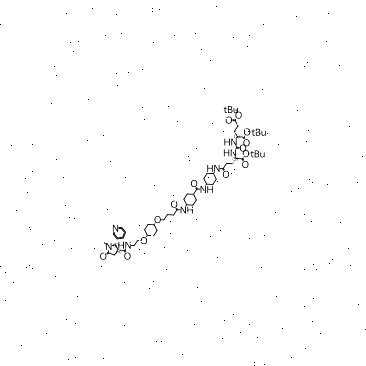 CN1C(=O)C[C@H](C(=O)NCCOC2CCC(OCCCC(=O)NC3CCC(C(=O)NC4CCC(NC(=O)CC[C@H](NC(=O)N[C@@H](CCC(=O)OC(C)(C)C)C(=O)OC(C)(C)C)C(=O)OC(C)(C)C)CC4)CC3)CC2)[C@H]1c1cccnc1